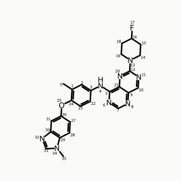 Cc1cc(Nc2ncnc3cnc(N4CCC(F)CC4)nc23)ccc1Oc1ccc2c(c1)ncn2C